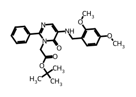 COc1ccc(CNc2cnc(-c3ccccc3)n(CC(=O)OC(C)(C)C)c2=O)c(OC)c1